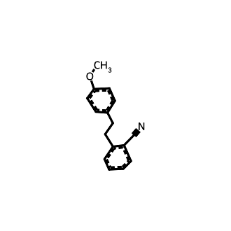 COc1ccc(CCc2ccccc2C#N)cc1